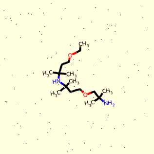 CCOCCC(C)(C)NC(C)(C)CCOCC(C)(C)N